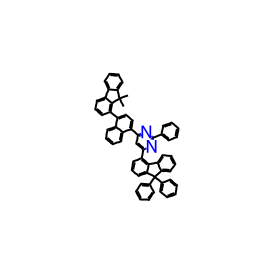 CC1(C)c2ccccc2-c2cccc(-c3ccc(-c4cc(-c5cccc6c5-c5ccccc5C6(c5ccccc5)c5ccccc5)nc(-c5ccccc5)n4)c4ccccc34)c21